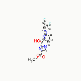 CCOC(=O)c1cn(Cc2ccc(N3CC4C(F)C4(F)C3)nc2CO)cn1